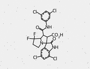 O=C(Nc1cc(Cl)cc(Cl)c1)C1C2N(CCC2(F)F)C2(C(=O)Nc3c(Cl)cc(Cl)cc32)C1C(=O)O